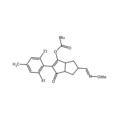 CCc1cc(C)cc(CC)c1C1=C(OC(=O)C(C)(C)C)C2CC(/C=N/OC)CC2C1=O